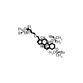 CCC(/C=C/COCC1=CC[C@H]2C3=CC=C4C[C@@H](O[Si](C)(C)C(C)(C)C)C[C@H](O[Si](C)(C)C(C)(C)C)[C@]4(C)[C@H]3CC[C@]12C)(CC)O[Si](CC)(CC)CC